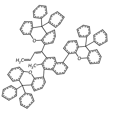 C=C/C=C(\c1cc2c(-c3cccc4c3Oc3ccccc3C4(c3ccccc3)c3ccccc3)cccc2c(-c2cccc3c2Oc2ccccc2C3(c2ccccc2)c2ccccc2)c1C)c1cccc2c1Oc1ccccc1C2(c1ccccc1)c1ccccc1